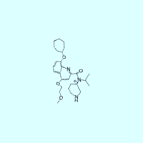 COCCOc1cc(C(=O)N(C(C)C)[C@@H]2CCCNC2)nc2c(OC3CCCCCC3)cccc12